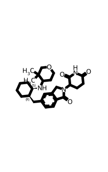 CC1(C)COCCC1N[C@H]1CCCC[C@@H]1Cc1ccc2c(c1)CN(C1CCC(=O)NC1=O)C2=O